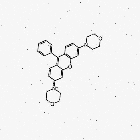 c1ccc(-c2c3ccc(=[N+]4CCOCC4)cc-3oc3cc(N4CCOCC4)ccc23)cc1